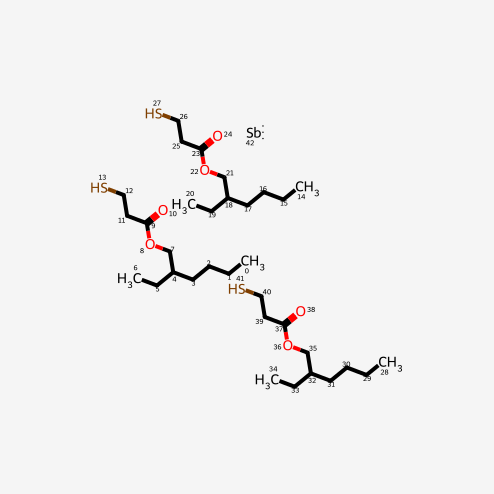 CCCCC(CC)COC(=O)CCS.CCCCC(CC)COC(=O)CCS.CCCCC(CC)COC(=O)CCS.[Sb]